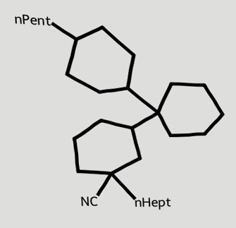 CCCCCCCC1(C#N)CCCC(C2(C3CCC(CCCCC)CC3)CCCCC2)C1